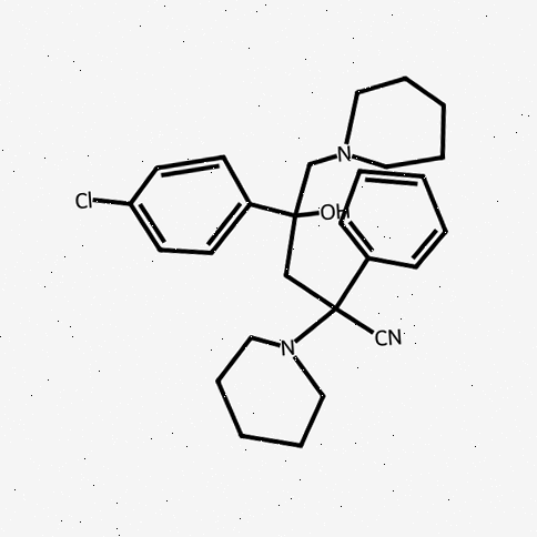 N#CC(CC(O)(CN1CCCCC1)c1ccc(Cl)cc1)(c1ccccc1)N1CCCCC1